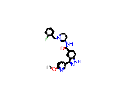 CC(C)Oc1ccc(-c2n[nH]c3ccc(C(=O)N[C@@H]4CCCN(Cc5ccccc5F)C4)cc23)cn1